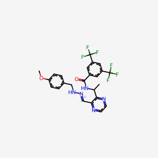 COc1ccc(CN/N=C/c2nccnc2C(C)NC(=O)c2cc(C(F)(F)F)cc(C(F)(F)F)c2)cc1